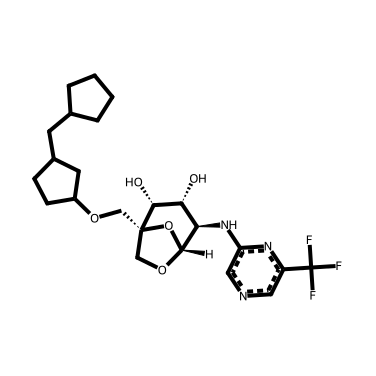 O[C@@H]1[C@@H](Nc2cncc(C(F)(F)F)n2)[C@@H]2OC[C@](COC3CCC(CC4CCCC4)C3)(O2)[C@@H]1O